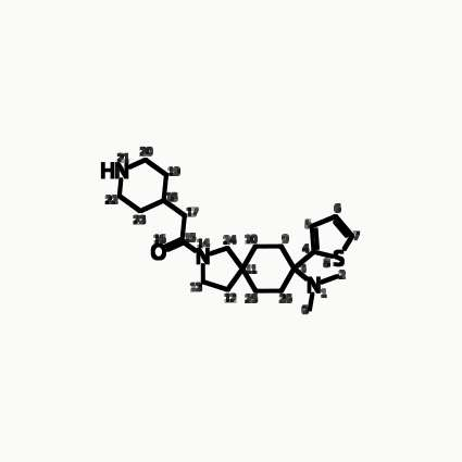 CN(C)C1(c2cccs2)CCC2(CCN(C(=O)CC3CCNCC3)C2)CC1